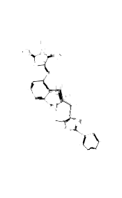 Cc1oc(-c2ccccc2)nc1Cc1cc2c(C=C3SC(=O)NC3=O)cccc2[nH]1